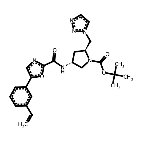 C=Cc1cccc(-c2cnc(C(=O)N[C@@H]3C[C@@H](Cn4ccnn4)N(C(=O)OC(C)(C)C)C3)o2)c1